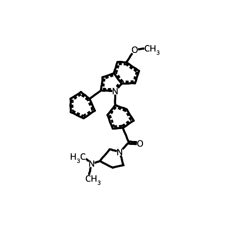 COc1ccc2c(c1)cc(-c1ccccc1)n2-c1ccc(C(=O)N2CCC(N(C)C)C2)cc1